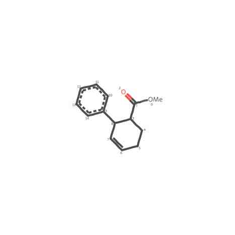 COC(=O)C1CCC=CC1c1ccccc1